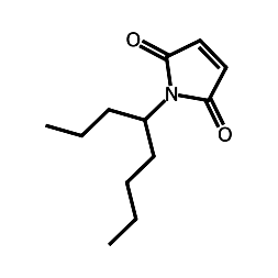 CCCCC(CCC)N1C(=O)C=CC1=O